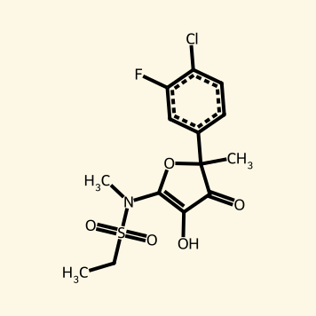 CCS(=O)(=O)N(C)C1=C(O)C(=O)C(C)(c2ccc(Cl)c(F)c2)O1